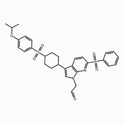 CC(C)Oc1ccc(S(=O)(=O)N2CCC(c3cn(CC=O)c4nc(S(=O)(=O)c5ccccc5)ccc34)CC2)cc1